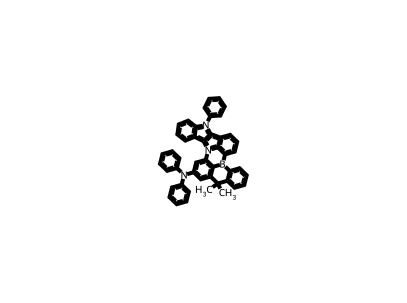 CC1(C)c2ccccc2B2c3c(cc(N(c4ccccc4)c4ccccc4)cc31)-n1c3c2cccc3c2c1c1ccccc1n2-c1ccccc1